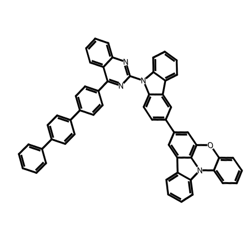 c1ccc(-c2ccc(-c3ccc(-c4nc(-n5c6ccccc6c6cc(-c7cc8c9c(c7)c7ccccc7n9-c7ccccc7O8)ccc65)nc5ccccc45)cc3)cc2)cc1